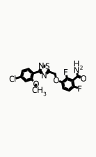 COc1cc(Cl)ccc1-c1nsc(COc2ccc(F)c(C(N)=O)c2F)n1